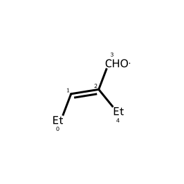 CCC=C([C]=O)CC